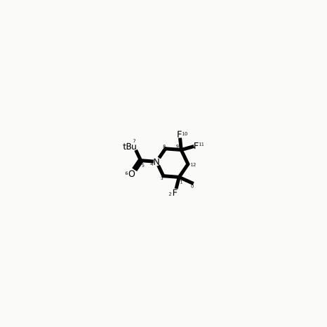 CC1(F)CN(C(=O)C(C)(C)C)CC(F)(F)C1